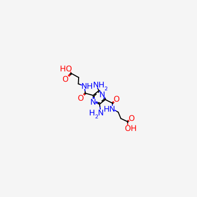 Nc1nc(C(=O)NCCC(=O)O)c(N)nc1C(=O)NCCC(=O)O